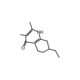 CCC1CCc2c([nH]c(C)c(C)c2=O)C1